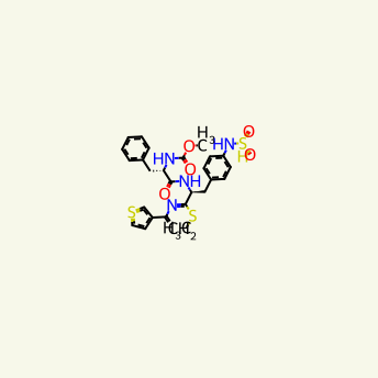 C=C(/N=C(\SC)[C@H](Cc1ccc(N[SH](=O)=O)cc1)NC(=O)[C@H](Cc1ccccc1)NC(=O)OC)c1ccsc1